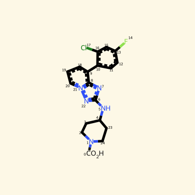 O=C(O)N1CCC(Nc2nc3c(-c4ccc(F)cc4Cl)cccn3n2)CC1